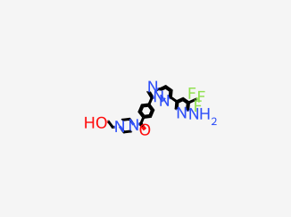 Nc1ncc(-c2ccc3ncc(-c4ccc(C(=O)N5CCN(CCO)CC5)cc4)n3n2)cc1C(F)(F)F